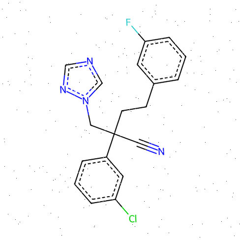 N#CC(CCc1cccc(F)c1)(Cn1cncn1)c1cccc(Cl)c1